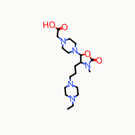 CCN1CCN(CCCC2C(N3CCN(CC(=O)O)CC3)OC(=O)N2C)CC1